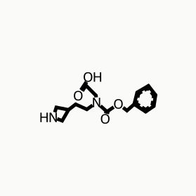 O=C(O)CN(CCC1CNC1)C(=O)OCc1ccccc1